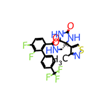 Cc1nscc1[C@]1(CNC(=O)c2ccc(F)c(F)c2-c2ccc(C(F)(F)F)cc2)NC(=O)NC1=O